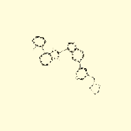 Fc1ccccc1-c1ccnc2[nH]c(-c3n[nH]c4ccc(-c5cncc(CN6CCCC6)c5)cc34)nc12